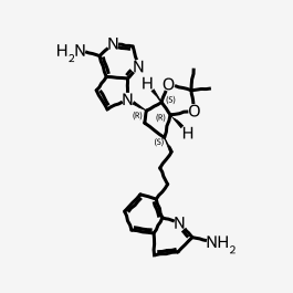 CC1(C)O[C@@H]2[C@@H](CCCc3cccc4ccc(N)nc34)C[C@@H](n3ccc4c(N)ncnc43)[C@@H]2O1